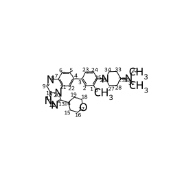 Cc1cc(-c2ccc3ncc4nnc(C5CCOCC5)n4c3c2)ccc1N1CCC(N(C)C)CC1